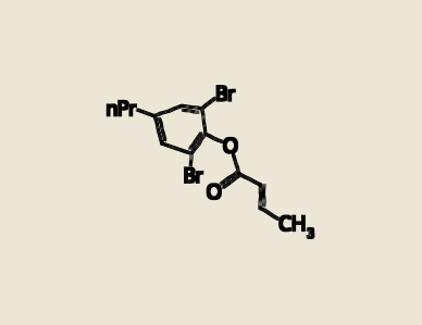 CC=CC(=O)Oc1c(Br)cc(CCC)cc1Br